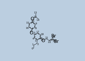 CCCc1cc(Oc2ccc(OC(C)C)cc2)ccc1OCC=C(Br)Br